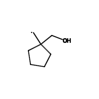 [CH2]C1(CO)CCCC1